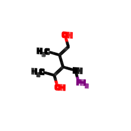 CC(O)C(BP)C(C)CO